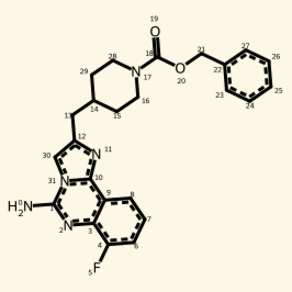 Nc1nc2c(F)cccc2c2nc(CC3CCN(C(=O)OCc4ccccc4)CC3)cn12